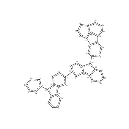 c1ccc(-n2c3ccccc3c3cc(-c4ccc5c(c4)c4ccccc4n5-c4ccc5c(c4)-c4cccc6nccc-5c46)ccc32)cc1